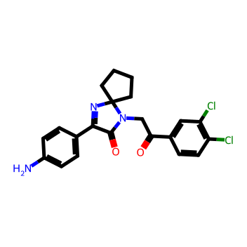 Nc1ccc(C2=NC3(CCCC3)N(CC(=O)c3ccc(Cl)c(Cl)c3)C2=O)cc1